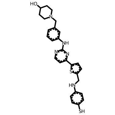 OC1CCN(Cc2cccc(Nc3nccc(-c4ccc(CNc5ccc(S)cc5)s4)n3)c2)CC1